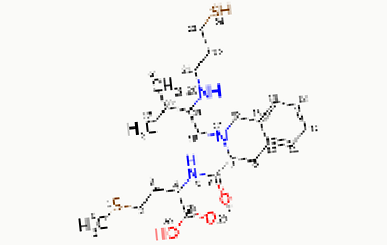 CSCC[C@@H](NC(=O)[C@H]1Cc2ccccc2CN1CC(NCCCS)C(C)C)C(=O)O